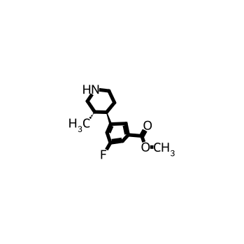 COC(=O)c1cc(F)cc([C@@H]2CCNC[C@H]2C)c1